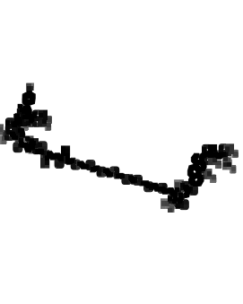 CC(C)CCC[C@@H](C)[C@H]1CCC2C3CCC4C[C@@H](OC(=O)C[C@H](NC(=O)CCOCCOCCOCCOCCOCCOCCOCCOCCNC(=O)CCCNC(=O)Cn5cc(C(=O)N6CCN(C(=O)c7cn8nc(-c9ccc(F)cc9)cc(C(C)(C)C)c8n7)C(C)(C)C6)nn5)C(N)=O)CC[C@]4(C)C3CC[C@@]21C